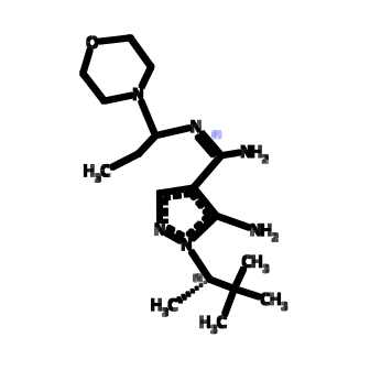 CCC(/N=C(/N)c1cnn([C@@H](C)C(C)(C)C)c1N)N1CCOCC1